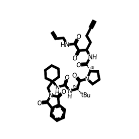 C#CCCC(NC(=O)[C@@H]1CCCN1C(=O)[C@@H](NC(=O)NC1(CN2C(=O)c3ccccc3C2=O)CCCCC1)C(C)(C)C)C(=O)C(=O)NCC=C